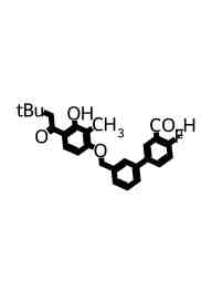 Cc1c(OCc2cccc(-c3ccc(F)c(C(=O)O)c3)c2)ccc(C(=O)CC(C)(C)C)c1O